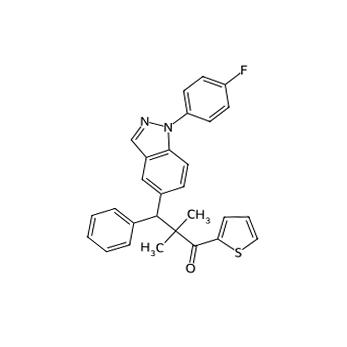 CC(C)(C(=O)c1cccs1)C(c1ccccc1)c1ccc2c(cnn2-c2ccc(F)cc2)c1